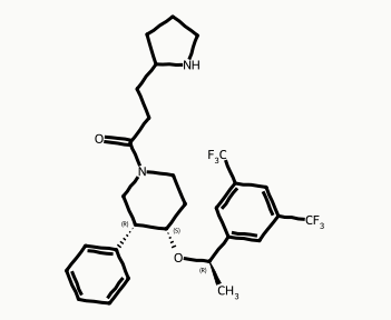 C[C@@H](O[C@H]1CCN(C(=O)CCC2CCCN2)C[C@H]1c1ccccc1)c1cc(C(F)(F)F)cc(C(F)(F)F)c1